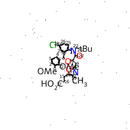 COc1cccc([C@H]2O[C@H](Cc3nc(C)c(CCC(=O)O)o3)C(=O)N(CC(C)(C)C)c3ccc(Cl)cc32)c1OC